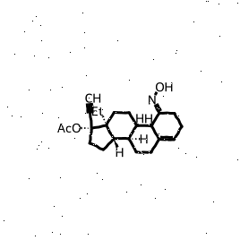 C#C[C@]1(OC(C)=O)CC[C@H]2[C@@H]3CCC4=CCC/C(=N\O)[C@@H]4[C@H]3CC[C@@]21CC